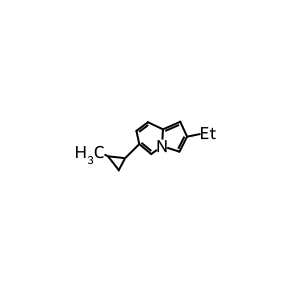 CCc1cc2ccc(C3CC3C)cn2c1